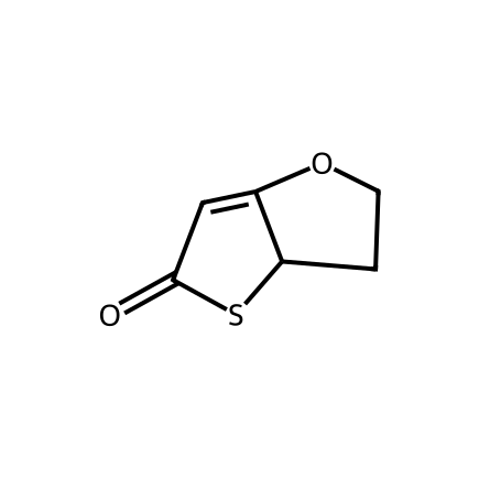 O=C1C=C2OCCC2S1